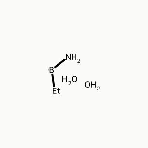 CC[B]N.O.O